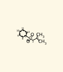 CC(C)CS(=O)(=O)c1cc[c]cc1